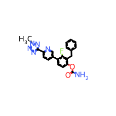 Cn1nnc(-c2ccc(-c3ccc(OC(N)=O)c(Cc4ccccc4)c3F)cn2)n1